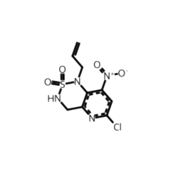 C=CCN1c2c([N+](=O)[O-])cc(Cl)nc2CNS1(=O)=O